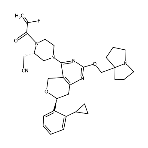 C=C(F)C(=O)N1CCN(c2nc(OCC34CCCN3CCC4)nc3c2CO[C@H](c2ccccc2C2CC2)C3)C[C@@H]1CC#N